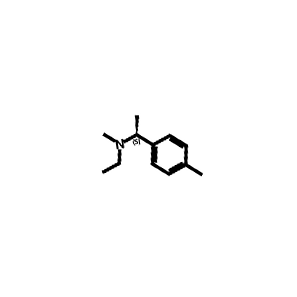 CCN(C)[C@@H](C)c1ccc(C)cc1